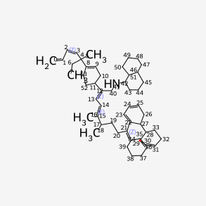 C=C/C=C\C(C)(CC)C1=CCC(/C(=C/C=C(\C)C(C)CC/C(C2=CC=CCC2C2CC=CCC2)=C2/C=CCCC2)CNC2CCCC3CCCCC32)CC1